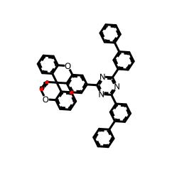 c1ccc(-c2cccc(-c3nc(-c4cccc(-c5ccccc5)c4)nc(-c4ccc5c(c4)Oc4ccccc4C54c5ccccc5Oc5ccccc54)n3)c2)cc1